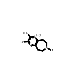 CCN1CCc2nc(N)c(Br)nc2CC1.Cl